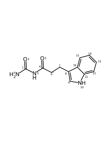 NC(=O)NC(=O)[CH]Cc1c[nH]c2ccccc12